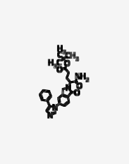 CC(C)(C)OC(=O)CCC(C(N)=O)N1Cc2cc(-n3cncc3-c3ccccc3)ccc2C1=O